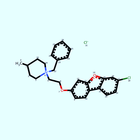 CC1CC[N+](CCOc2ccc3c(c2)oc2cc(Cl)ccc23)(Cc2ccccc2)CC1.[Cl-]